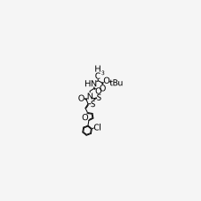 C[C@H](NC(=O)CN1C(=O)C(=Cc2ccc(-c3ccccc3Cl)o2)SC1=S)C(=O)OC(C)(C)C